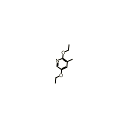 CCOc1cnc(OCC)c(C)c1